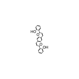 O=C(/C=C\c1ccc(/C=C\C(=O)c2ccccc2O)cc1)c1ccccc1O